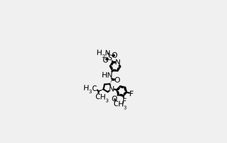 COc1c(N2C[C@@H](C(C)C)C[C@@H]2C(=O)Nc2ccnc(S(N)(=O)=O)c2)ccc(F)c1F